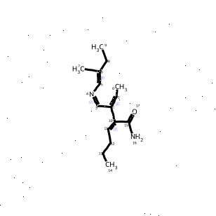 C/C=C(\C=N/C=C(\C)CC)C(=C/CCC)/C(N)=O